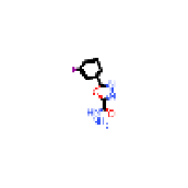 NNC(=O)c1nnc(-c2cccc(I)c2)o1